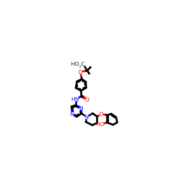 CC(C)(Oc1ccc(C(=O)Nc2cncc(N3CCCC(OC4=C(O)CCC=C4)C3)n2)cc1)C(=O)O